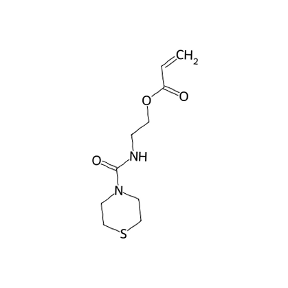 C=CC(=O)OCCNC(=O)N1CCSCC1